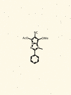 [C-]#[N+]c1c(OC)c2n(C)c(-c3ccccc3)nn2c1OC(C)=O